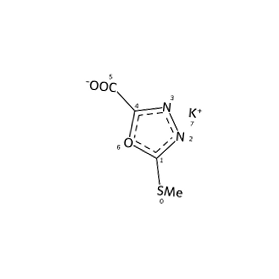 CSc1nnc(C(=O)[O-])o1.[K+]